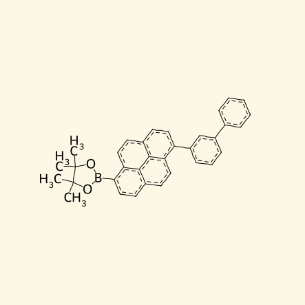 CC1(C)OB(c2ccc3ccc4c(-c5cccc(-c6ccccc6)c5)ccc5ccc2c3c54)OC1(C)C